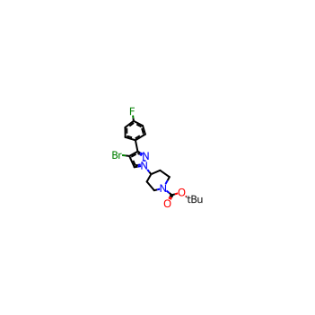 CC(C)(C)OC(=O)N1CCC(n2cc(Br)c(-c3ccc(F)cc3)n2)CC1